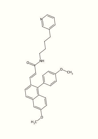 COc1ccc(-c2c(C=CC(=O)NCCCCc3cccnc3)ccc3cc(OC)ccc23)cc1